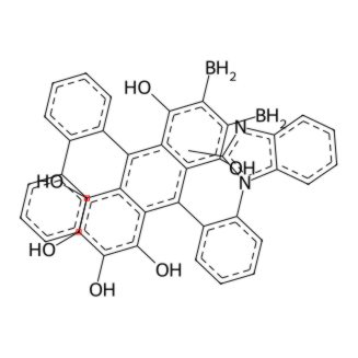 Bc1c(B)c(O)c2c(-c3ccccc3-n3c(C)nc4ccccc43)c3c(O)c(O)c(O)c(O)c3c(-c3ccccc3-c3ccccc3)c2c1O